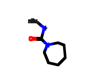 CCCC[N]C(=O)N1CCCCCC1